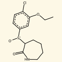 CCOc1cc([S+]([O-])C2CCCCNC2=O)ccc1Cl